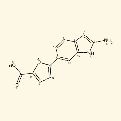 Nc1nc2ccc(-c3ccc(C(=O)O)o3)cc2[nH]1